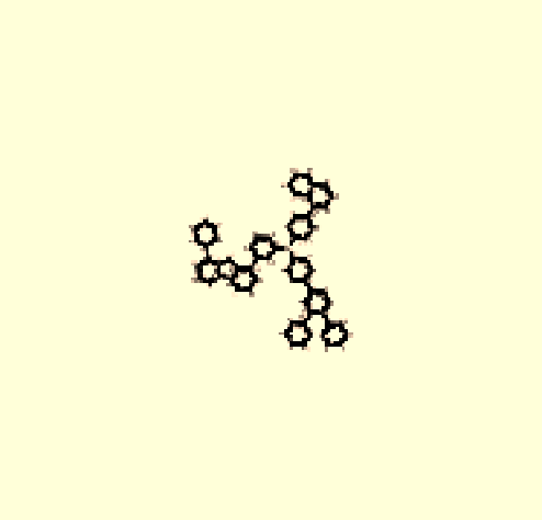 c1ccc(-c2ccc(-c3ccc(N(c4ccc(-c5cccc6ccccc56)cc4)c4cccc(-c5cccc6c5Cc5c(-c7ccccc7)cccc5-6)c4)cc3)cc2-c2ccccc2)cc1